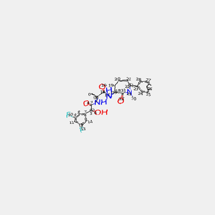 C[C@H](NC(=O)[C@@H](O)c1cc(F)cc(F)c1)C(=O)N[C@H]1CC=C[C@@H](c2ccccc2)N(C)C1=O